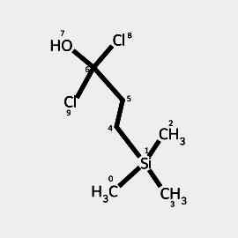 C[Si](C)(C)CCC(O)(Cl)Cl